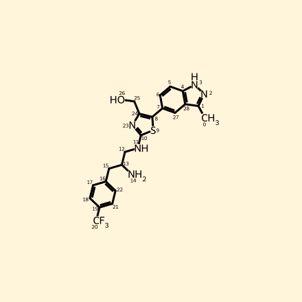 Cc1n[nH]c2ccc(-c3sc(NCC(N)Cc4ccc(C(F)(F)F)cc4)nc3CO)cc12